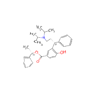 CC(C)N(CC[C@H](c1ccccc1)c1cc(C(=O)O[C@@H](C)c2ccccc2)ccc1O)C(C)C